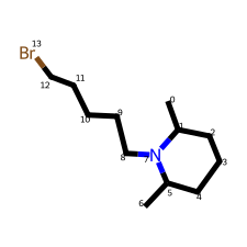 CC1CCCC(C)N1CCCCCBr